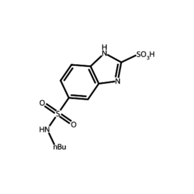 CCCCNS(=O)(=O)c1ccc2[nH]c(S(=O)(=O)O)nc2c1